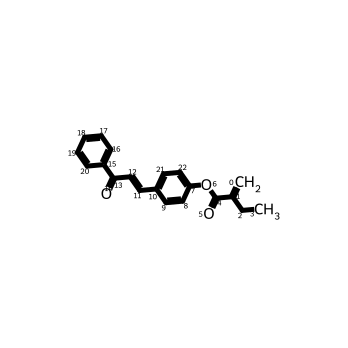 C=C(CC)C(=O)Oc1ccc(C=CC(=O)c2ccccc2)cc1